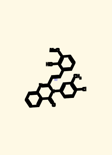 COc1cccc(/C=C/c2nc3ccccc3c(=O)n2-c2ccc(Cl)c(C)c2)c1O